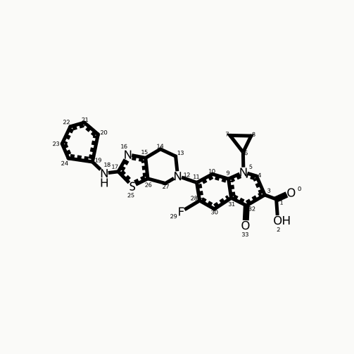 O=C(O)c1cn(C2CC2)c2cc(N3CCc4nc(Nc5ccccc5)sc4C3)c(F)cc2c1=O